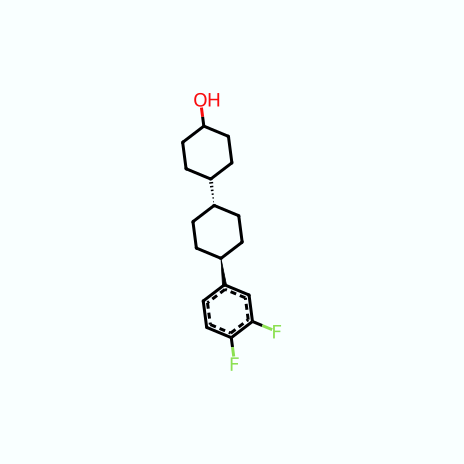 OC1CCC([C@H]2CC[C@H](c3ccc(F)c(F)c3)CC2)CC1